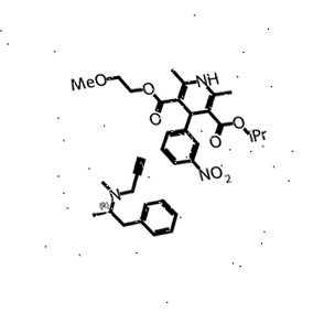 C#CCN(C)[C@H](C)Cc1ccccc1.COCCOC(=O)C1=C(C)NC(C)=C(C(=O)OC(C)C)C1c1cccc([N+](=O)[O-])c1